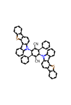 N#Cc1c(-c2ccccc2)c(-n2c3ccccc3c3c4sc5ccccc5c4ccc32)c(C#N)c(-c2ccccc2)c1-n1c2ccccc2c2c3sc4ccccc4c3ccc21